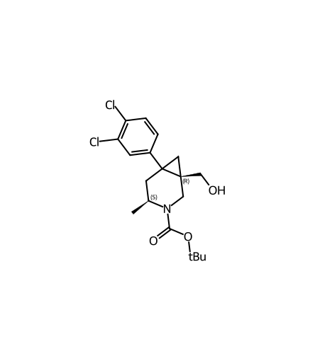 C[C@H]1CC2(c3ccc(Cl)c(Cl)c3)C[C@]2(CO)CN1C(=O)OC(C)(C)C